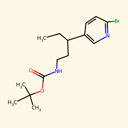 CCC(CCNC(=O)OC(C)(C)C)c1ccc(Br)nc1